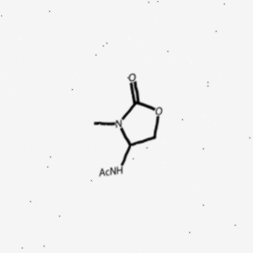 CC(=O)NC1COC(=O)N1C